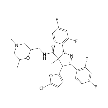 CC1CN(C)CC(CNC(=O)C2(C)C(c3ccc(Cl)o3)C(c3ccc(F)cc3F)=NN2c2ccc(F)cc2F)O1